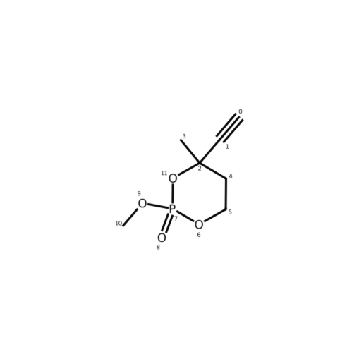 C#CC1(C)CCOP(=O)(OC)O1